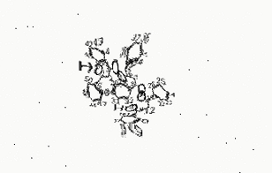 OC(CC(OOC(CC(OOC(CC(O)c1ccccc1)c1ccccc1)c1ccccc1)c1ccccc1)c1ccccc1)c1ccccc1